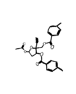 C#CC1(COC(=O)c2ccc(C)cc2)OC(OC(C)=O)CC1OC(=O)c1ccc(C)cc1